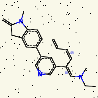 C=C/C=C\C(=C/N(C)CC)c1cncc(-c2ccc3c(c2)CC(=C)N3C)c1